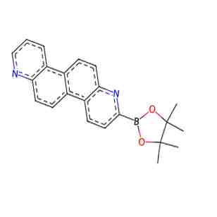 CC1(C)OB(c2ccc3c(ccc4c5cccnc5ccc34)n2)OC1(C)C